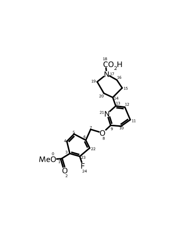 COC(=O)c1ccc(COc2cccc(C3CCN(C(=O)O)CC3)n2)cc1F